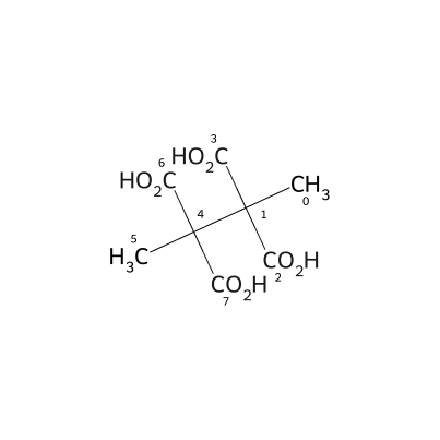 CC(C(=O)O)(C(=O)O)C(C)(C(=O)O)C(=O)O